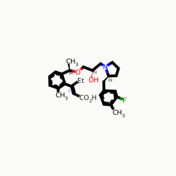 CC/C(=C\C(=O)O)c1c(C)cccc1[C@@H](C)OC[C@@H](O)CN1CCC[C@H]1Cc1ccc(C)c(F)c1